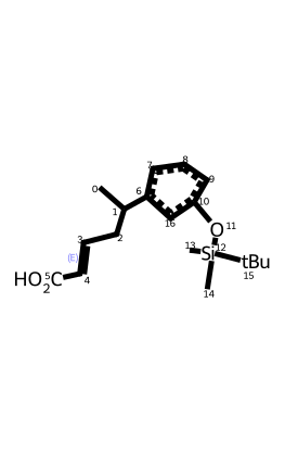 CC(C/C=C/C(=O)O)c1cccc(O[Si](C)(C)C(C)(C)C)c1